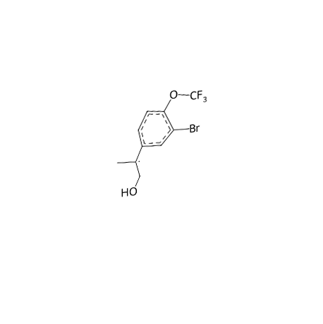 C[C](CO)c1ccc(OC(F)(F)F)c(Br)c1